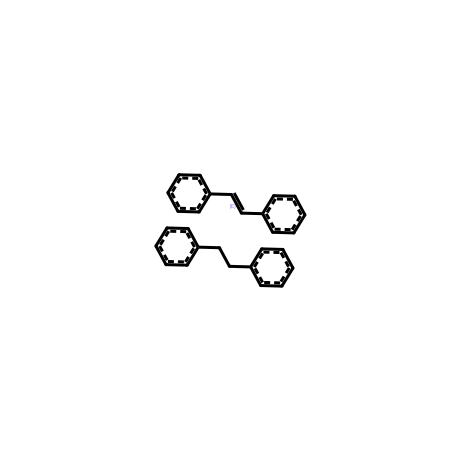 C(=C\c1ccccc1)/c1ccccc1.c1ccc(CCc2ccccc2)cc1